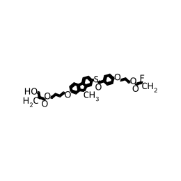 C=C(F)C(=O)OCCCOc1ccc(C(=O)Sc2ccc3c(c2)C(C)c2cc(OCCCCOC(=O)C(=C)CO)ccc2-3)cc1